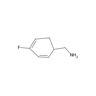 NCC1C=CC(F)=CC1